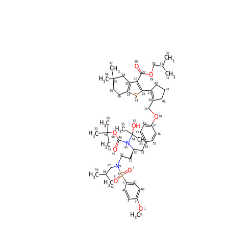 COc1ccc(S(=O)(=O)N(CC[C@H](Cc2ccc(OCC3=C(c4sc5c(c4C(=O)OCC(C)C)CC(C)(C)CC5)CCC3)cc2)N(C(=O)OC(C)(C)C)C(C)(C)O)CC(C)C)cc1